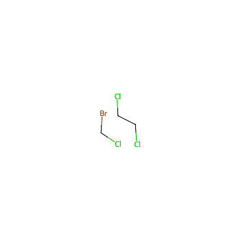 ClCBr.ClCCCl